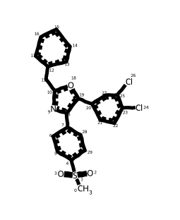 CS(=O)(=O)c1ccc(-c2nc(Cc3ccccc3)oc2-c2ccc(Cl)c(Cl)c2)cc1